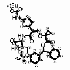 CC(C)(C)OC(=O)Nc1nc(C(=NOC2(C(=O)OC(c3ccccc3)c3ccccc3)CC2)C(=O)N[C@@H]2C(=O)N[C@@H]2COS(C)(=O)=O)cs1